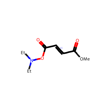 CCN(CC)OC(=O)/C=C/C(=O)OC